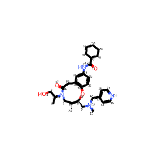 CC(CO)N1C[C@@H](C)[C@H](CN(C)Cc2ccncc2)Oc2ccc(NC(=O)C3CCCCC3)cc2CC1=O